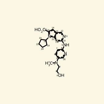 CN(CCO)c1ccc(Nc2ncc3cc(C(=O)O)n(C4CCCC4)c3n2)nc1